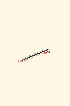 C=C(CCCCCCCCCCCCCCCCCCCO)C(=O)O